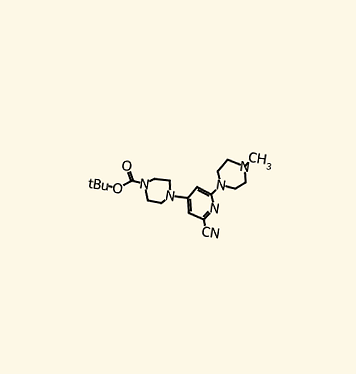 CN1CCN(c2cc(N3CCN(C(=O)OC(C)(C)C)CC3)cc(C#N)n2)CC1